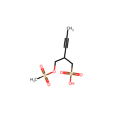 CC#CC(COS(C)(=O)=O)CS(=O)(=O)O